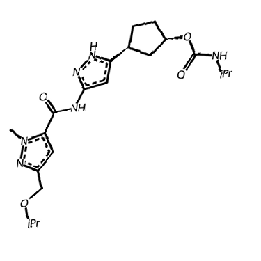 CC(C)NC(=O)O[C@@H]1CC[C@H](c2cc(NC(=O)c3cc(COC(C)C)nn3C)n[nH]2)C1